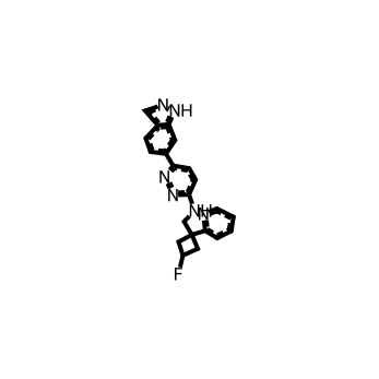 FC1CC(CNc2ccc(-c3ccc4cn[nH]c4c3)nn2)(c2ccccn2)C1